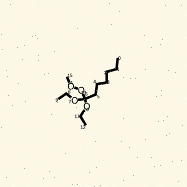 CCCCCCC(OCC)(OCC)OOC